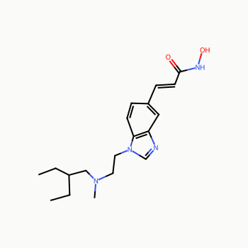 CCC(CC)CN(C)CCn1cnc2cc(C=CC(=O)NO)ccc21